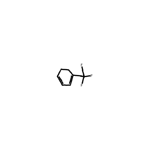 FC(F)(F)C1=CC=CCC1